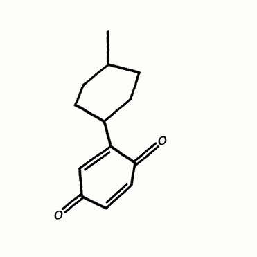 CC1CCC(C2=CC(=O)C=CC2=O)CC1